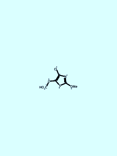 COc1nc(Cl)c(OC(=O)O)s1